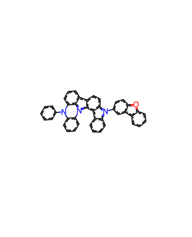 c1ccc(N2c3ccccc3-n3c4c2cccc4c2ccc4c(c5ccccc5n4-c4ccc5oc6ccccc6c5c4)c23)cc1